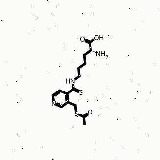 CC(=O)SCc1cnccc1C(=S)NCCCC[C@@H](N)C(=O)O